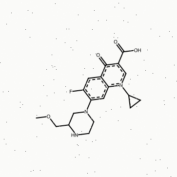 COCC1CN(c2cc3c(cc2F)c(=O)c(C(=O)O)cn3C2CC2)CCN1